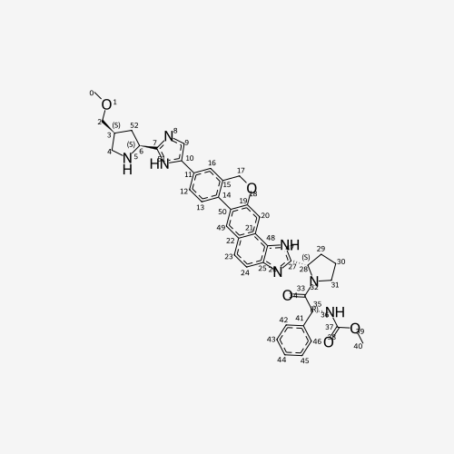 COC[C@@H]1CN[C@H](c2ncc(-c3ccc4c(c3)COc3cc5c(ccc6nc([C@@H]7CCCN7C(=O)[C@H](NC(=O)OC)c7ccccc7)[nH]c65)cc3-4)[nH]2)C1